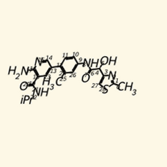 Cc1nc([C@H](O)C(=O)Nc2ccc(-c3cnc(N)c(C(=O)NC(C)C)c3)c(C)c2)cs1